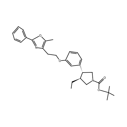 CC[C@@H]1CN(C(=O)OC(C)(C)C)C[C@H]1c1cccc(OCCc2nc(-c3ccccc3)oc2C)c1